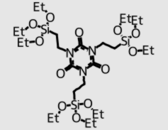 CCO[Si](CCn1c(=O)n(CC[Si](OCC)(OCC)OCC)c(=O)n(CC[Si](OCC)(OCC)OCC)c1=O)(OCC)OCC